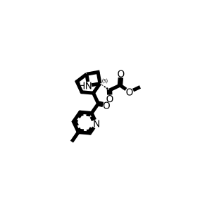 COC(=O)C(=O)[C@]12CC(CCC1C(=O)c1ccc(C)cn1)N2